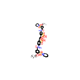 COc1ccc(C(=O)Nc2ccc(/C=C/c3ccc(NC(=O)c4ccc(OC)c(S(=O)(=O)N5CCCCCC5)c4)cc3S(=O)(=O)O)c(S(=O)(=O)O)c2)cc1S(=O)(=O)N1CCCCCC1